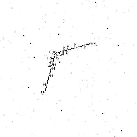 NCCCNCCCCNCCCNC(=O)NNCC(O)CCC(N)(N)CC(O)CNNC(=O)NCCCNCCCCNCCCN